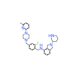 Cc1cccc(N2CCN(Cc3ccc(CNc4cccc5c4CN(C4CCCNC4)C5)c(F)c3)CC2)n1